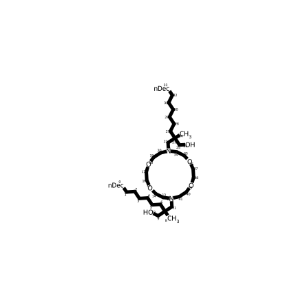 CCCCCCCCCCCCCCCCC(C)(CO)CN1CCOCCOCCN(CC(C)(CO)CCCCCCCCCCCCCCCC)CCOCCOCC1